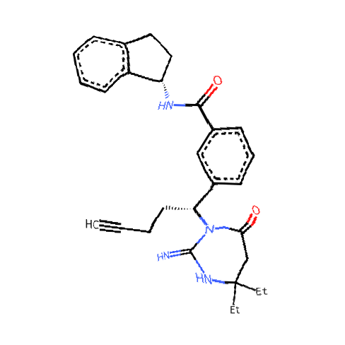 C#CCC[C@H](c1cccc(C(=O)N[C@H]2CCc3ccccc32)c1)N1C(=N)NC(CC)(CC)CC1=O